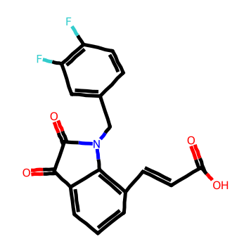 O=C(O)/C=C/c1cccc2c1N(Cc1ccc(F)c(F)c1)C(=O)C2=O